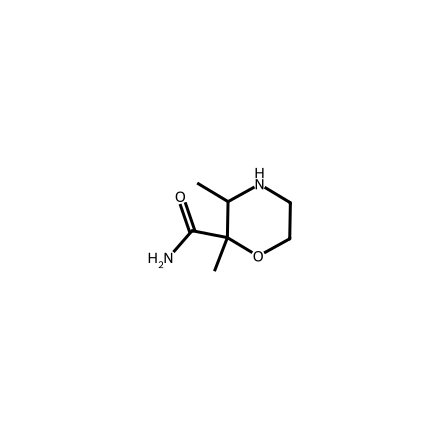 CC1NCCOC1(C)C(N)=O